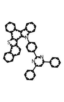 c1ccc(-c2cc(-c3ccccc3)nc(-c3ccc(-n4c5ccccc5c5c6ccccc6c6sc7c8ccccc8ccc7c6c54)cc3)n2)cc1